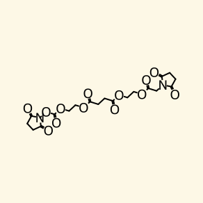 O=C(CCC(=O)OCCOC(=O)ON1C(=O)CCC1=O)OCCOC(=O)CN1C(=O)CCC1=O